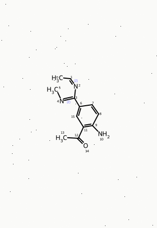 C/C=N\C(=N/C)c1ccc(N)c(C(C)=O)c1